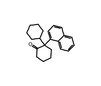 O=C1CCCCC1(c1cccc2ccccc12)C1CCCCC1